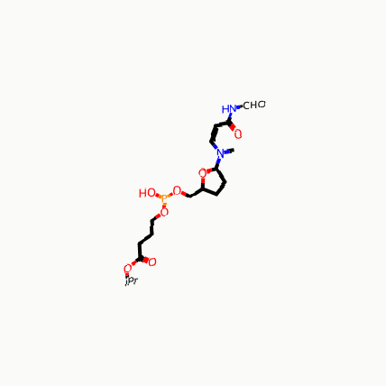 CC(C)OC(=O)CCCOP(O)OCC1CCC(N(C)/C=C\C(=O)NC=O)O1